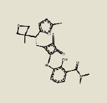 Cc1ccc([C@H](Cc2c(Nc3cccc(C(=O)N(C)C)c3O)c(=O)c2=O)C2(C)COC2)o1